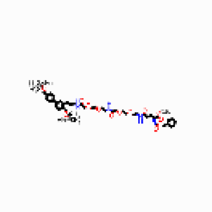 CC(C)(C)OC(=O)C(CCC(=O)NCCOCCOCC(=O)NCCOCCOCC(=O)NCCCc1cc(-c2ccc(CO[Si](C)(C)C(C)(C)C)cc2)ccc1CO[Si](C)(C)C(C)(C)C)NC(=O)OCc1ccccc1